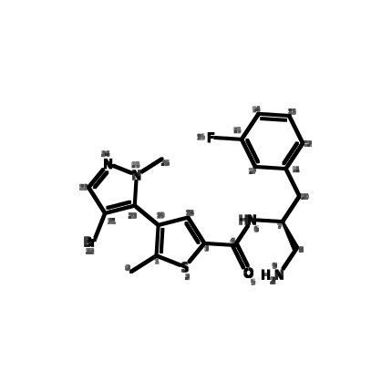 Cc1sc(C(=O)N[C@H](CN)Cc2cccc(F)c2)cc1-c1c(Br)cnn1C